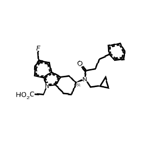 O=C(O)Cn1c2c(c3cc(F)ccc31)C[C@@H](N(CC1CC1)C(=O)CCc1ccccc1)CC2